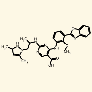 COc1c(Nc2nc(NC(C)CN3NC(C)C=C3C)ncc2C(=O)O)cccc1-c1nc2ccccc2o1